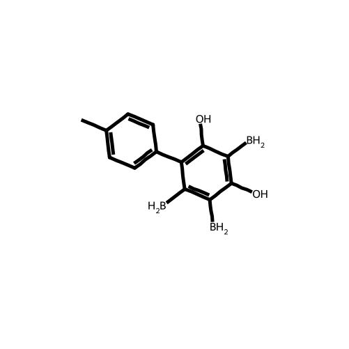 Bc1c(B)c(-c2ccc(C)cc2)c(O)c(B)c1O